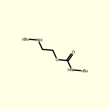 CCCCNCCOC(=O)NCCCC